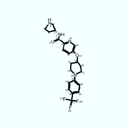 O=C(N[C@@H]1CCNC1)c1ccc(OC2CCN(c3ccc(C(F)(F)F)cc3)CC2)cn1